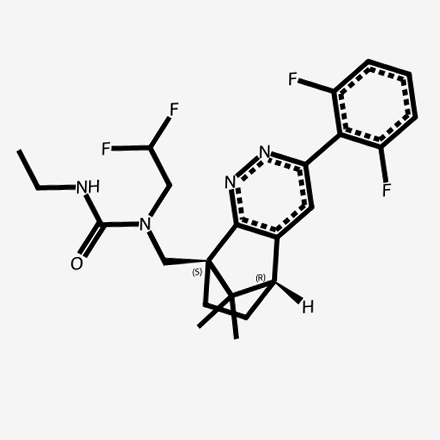 CCNC(=O)N(CC(F)F)C[C@@]12CC[C@@H](c3cc(-c4c(F)cccc4F)nnc31)C2(C)C